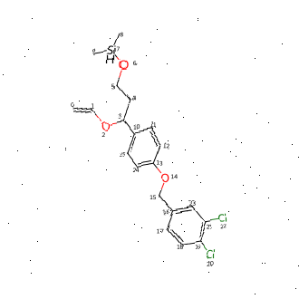 C=COC(CCO[SiH](C)C)c1ccc(OCc2ccc(Cl)c(Cl)c2)cc1